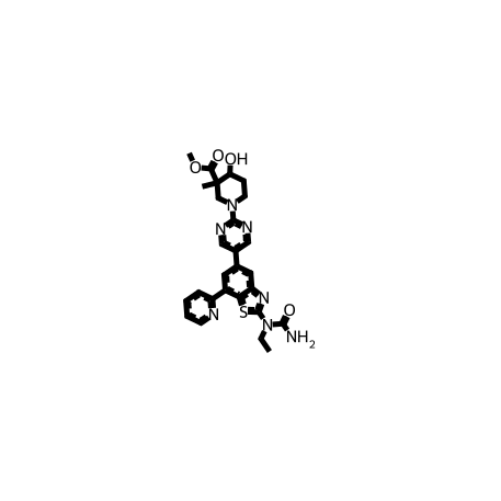 CCN(C(N)=O)c1nc2cc(-c3cnc(N4CCC(O)C(C)(C(=O)OC)C4)nc3)cc(-c3ccccn3)c2s1